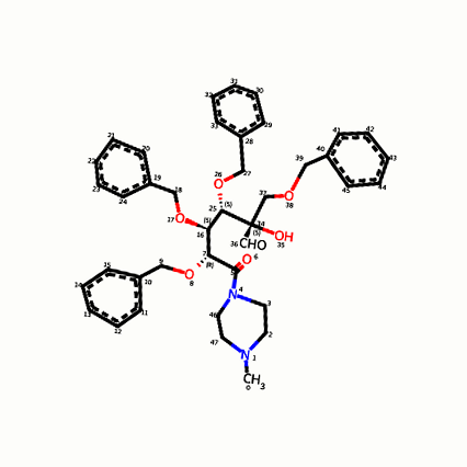 CN1CCN(C(=O)[C@H](OCc2ccccc2)[C@@H](OCc2ccccc2)[C@H](OCc2ccccc2)[C@](O)(C=O)COCc2ccccc2)CC1